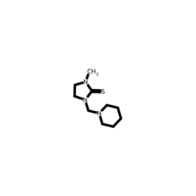 CN1CCN(CN2CCCCC2)C1=S